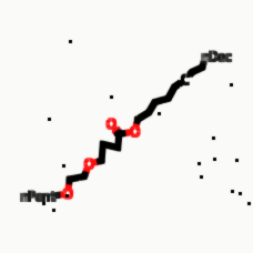 CCCCCCCCCCCCCCCCCCOC(=O)CCCOCCOCCCCC